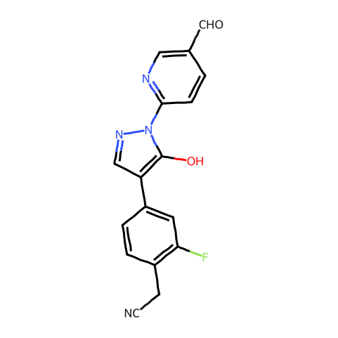 N#CCc1ccc(-c2cnn(-c3ccc(C=O)cn3)c2O)cc1F